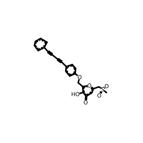 CS(=O)(=O)Cc1cc(=O)c(O)c(COc2ccc(C#CC#Cc3ccccc3)cc2)o1